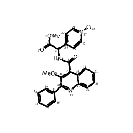 COC(=O)C(NC(=O)c1c(OC)c(-c2ccccc2)nc2ccccc12)c1cc[n+]([O-])cc1